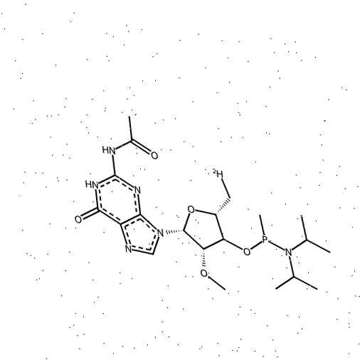 [2H]C[C@H]1O[C@@H](n2cnc3c(=O)[nH]c(NC(C)=O)nc32)[C@@H](OC)C1OP(C)N(C(C)C)C(C)C